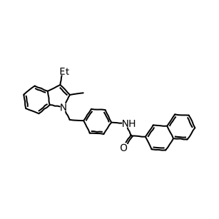 CCc1c(C)n(Cc2ccc(NC(=O)c3ccc4ccccc4c3)cc2)c2ccccc12